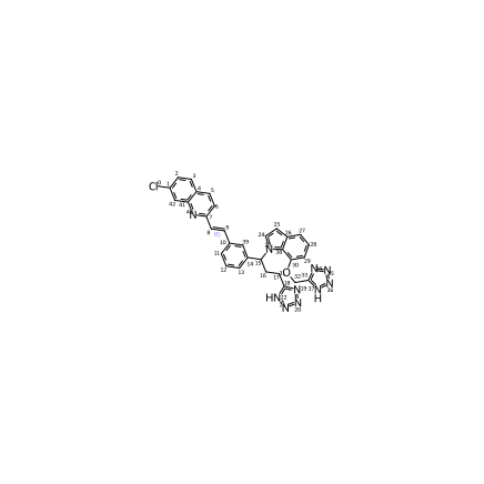 Clc1ccc2ccc(/C=C/c3cccc(C(CCc4nnn[nH]4)n4ccc5cccc(OCc6nnn[nH]6)c54)c3)nc2c1